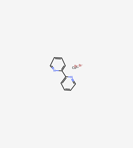 [Br-].[Br-].[Cu+2].c1ccc(-c2ccccn2)nc1